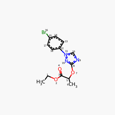 CCOC(=O)C(C)Oc1ncn(-c2ccc(Br)cc2)n1